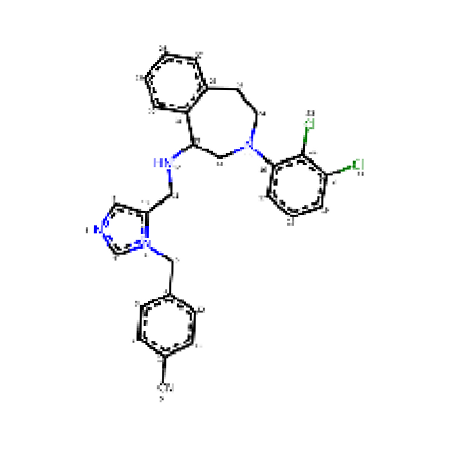 N#Cc1ccc(Cn2cncc2CNC2CN(c3cccc(Cl)c3Cl)CCc3ccccc32)cc1